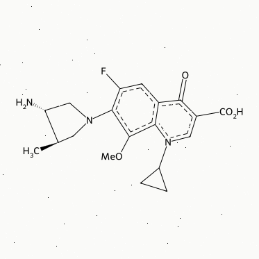 COc1c(N2C[C@@H](C)[C@H](N)C2)c(F)cc2c(=O)c(C(=O)O)cn(C3CC3)c12